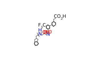 CN(CC(O)CNC(C)(C)CC1Cc2ccccc2C1)S(=O)(=O)c1cc(-c2cccc(CCC(=O)O)c2)cc(C(F)(F)F)c1